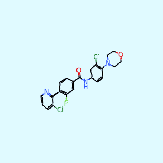 O=C(Nc1ccc(N2CCOCC2)c(Cl)c1)c1ccc(-c2ncccc2Cl)c(F)c1